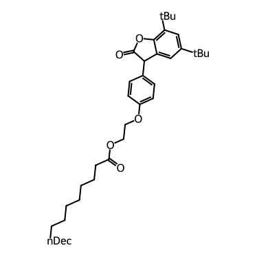 CCCCCCCCCCCCCCCCCC(=O)OCCOc1ccc(C2C(=O)Oc3c2cc(C(C)(C)C)cc3C(C)(C)C)cc1